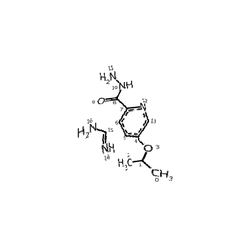 CC(C)Oc1ccc(C(=O)NN)nc1.N=CN